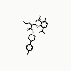 CCCC(COc1c(C(C)C)ccc(C)c1[N+](=O)[O-])C(=O)ON1CCN(c2ccc(F)cc2)CC1